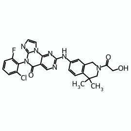 CC1(C)CN(C(=O)CO)Cc2cc(Nc3ncc4c(=O)n(-c5c(F)cccc5Cl)c5nccn5c4n3)ccc21